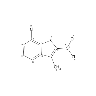 Cc1c([S+]([O-])Cl)sc2c(Cl)cccc12